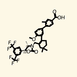 COc1ccc(-c2ccc(C(=O)O)cc2C)cc1C1=C(CN2C(=O)O[C@@H](c3cc(C(F)(F)F)cc(C(F)(F)F)c3)[C@@H]2C)CC(C)(C)CC1